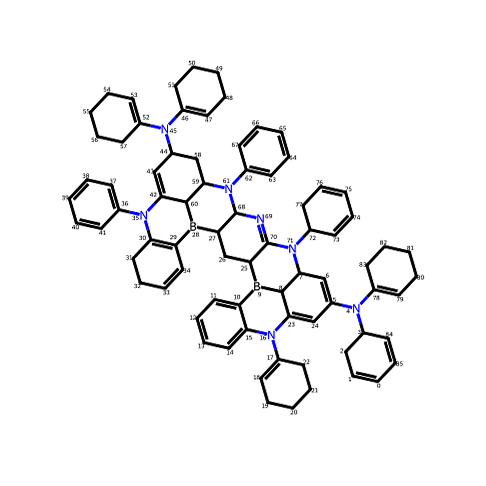 C1=CCC(N(C2=CC3C4B(c5ccccc5N(C5=CCCCC5)C4=C2)C2CC4B5C6=C(CCC=C6)N(c6ccccc6)C6=CC(N(C7=CCCCC7)C7=CCCCC7)CC(C56)N(c5ccccc5)C4N=C2N3C2C=CC=CC2)C2=CCCCC2)C=C1